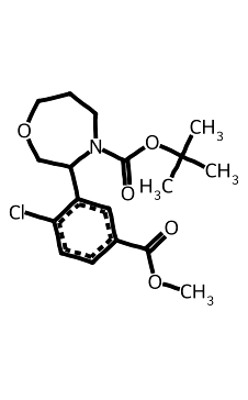 COC(=O)c1ccc(Cl)c(C2COCCCN2C(=O)OC(C)(C)C)c1